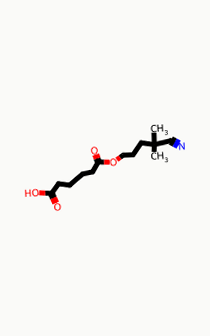 CC(C)(C#N)CCCOC(=O)CCCCC(=O)O